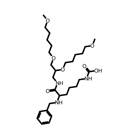 COCCCCCOCC(CNC(=O)C(CCCCNC(=O)O)NCc1ccccc1)OCCCCCOC